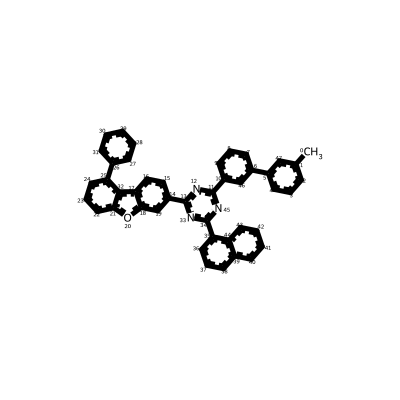 Cc1cccc(-c2cccc(-c3nc(-c4ccc5c(c4)oc4cccc(-c6ccccc6)c45)nc(-c4cccc5ccccc45)n3)c2)c1